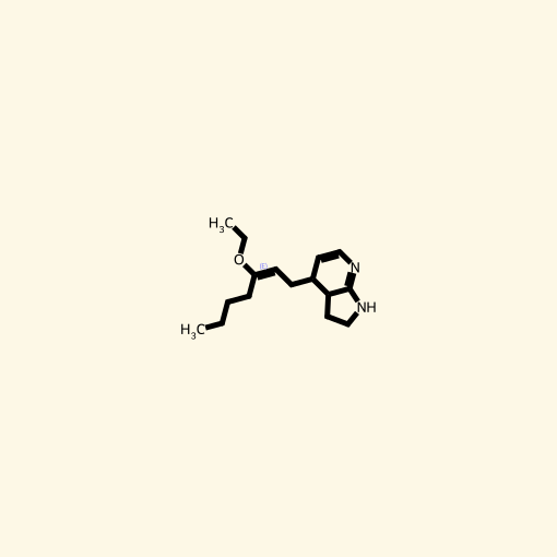 CCCC/C(=C\CC1C=CN=C2NCCC21)OCC